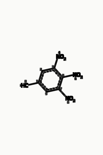 [CH]c1cc([N+](=O)[O-])c([N+](=O)[O-])c([N+](=O)[O-])c1